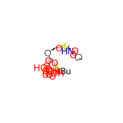 CC(C)(C)SSCO[C@@H]1C[C@H]([C@H]2CCCC[C@@H](C#CCOCSSC(C)(C)CNC(=O)OC3CC/C=C/CCC3)C2)O[C@@H]1COP(=O)(O)OP(=O)(O)OP(=O)(O)O